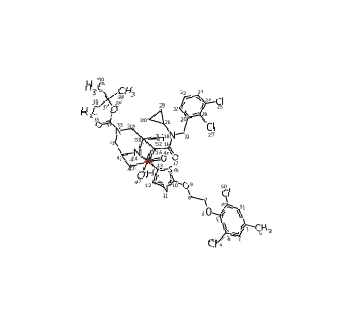 Cc1cc(Cl)c(OCCOc2ncc(C3=C(C(=O)N(Cc4cccc(Cl)c4Cl)C4CC4)[C@H]4CN(C(=O)OC(C)(C)C)CC(C3)N4C(=O)O)s2)c(Cl)c1